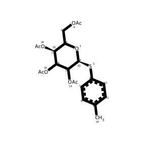 CC(=O)OCC1O[C@@H](Sc2ccc(C)cc2)C(OC(C)=O)C(OC(C)=O)[C@H]1OC(C)=O